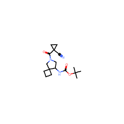 CC(C)(C)OC(=O)NC1CN(C(=O)C2(C#N)CC2)CC12CCC2